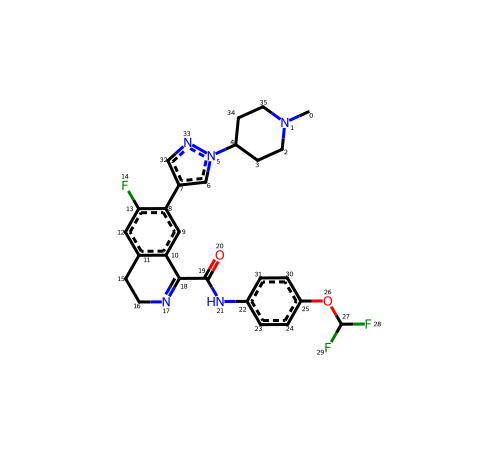 CN1CCC(n2cc(-c3cc4c(cc3F)CCN=C4C(=O)Nc3ccc(OC(F)F)cc3)cn2)CC1